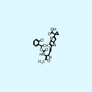 Cc1onc(C#CC2=CC3=NC(C4(C(=O)O)CC4)=CC3=N2)c1NC(=O)OC(C)c1ccccc1Cl